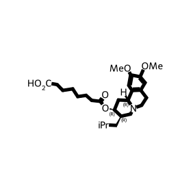 COc1cc2c(cc1OC)[C@H]1C[C@@H](OC(=O)CCCCCCC(=O)O)[C@H](CC(C)C)CN1CC2